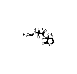 CCNC(C)(C)C(=O)OC1(C)CCOC1=O